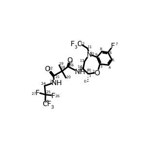 C[C@H]1Oc2ccc(F)cc2N(CC(F)(F)F)C[C@H]1NC(=O)C(C)(C)C(=O)NCC(F)(F)C(F)(F)F